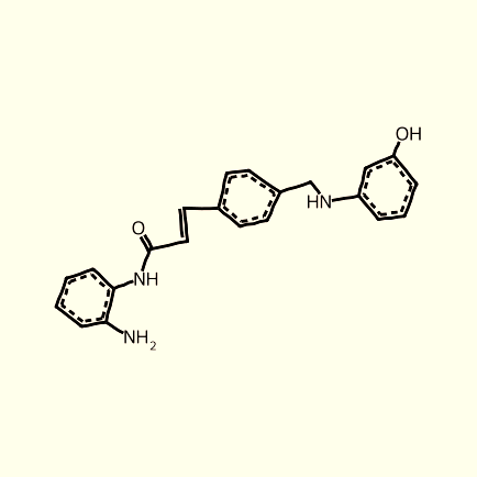 Nc1ccccc1NC(=O)C=Cc1ccc(CNc2cccc(O)c2)cc1